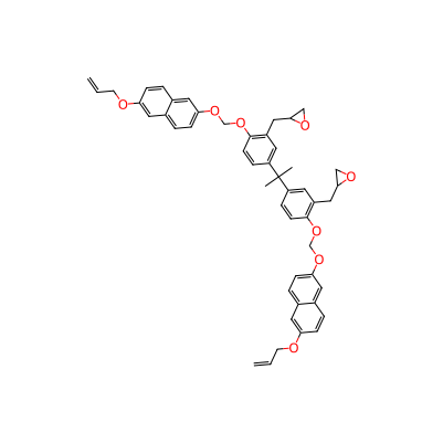 C=CCOc1ccc2cc(OCOc3ccc(C(C)(C)c4ccc(OCOc5ccc6cc(OCC=C)ccc6c5)c(CC5CO5)c4)cc3CC3CO3)ccc2c1